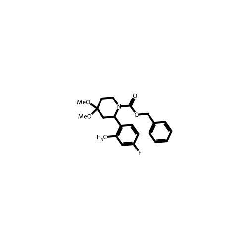 COC1(OC)CCN(C(=O)OCc2ccccc2)C(c2ccc(F)cc2C)C1